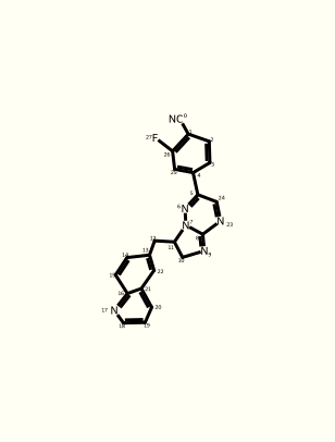 N#Cc1ccc(C2=NN3C(=NCC3Cc3ccc4ncccc4c3)N=C2)cc1F